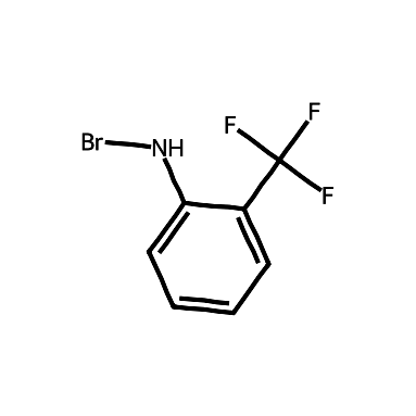 FC(F)(F)c1ccccc1NBr